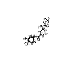 CC(C)(C)OC(=O)N[C@H]1CCC[C@H](C(=O)Nc2cc(I)c(Cl)cn2)C1